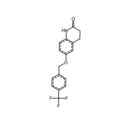 O=C1CCc2cc(OCc3ccc(C(F)(F)F)cc3)ccc2N1